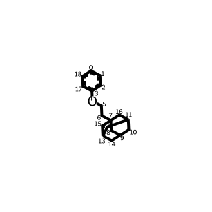 c1ccc(OCCC23CC4CC(CC(C4)C2)C3)cc1